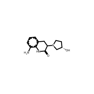 Nc1cccc2c1NC(=O)C(N1CC[C@H](O)C1)C2